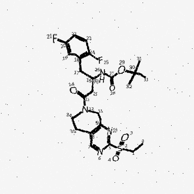 CCS(=O)(=O)c1ncc2c(n1)CN(C(=O)C[C@@H](Cc1cc(F)ccc1F)NC(=O)OC(C)(C)C)CC2